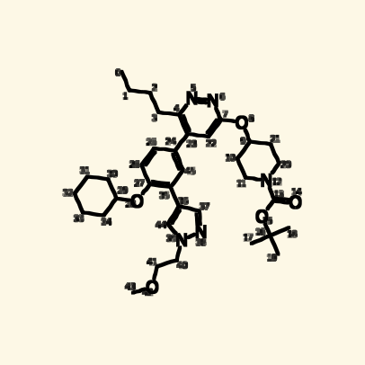 CCCCc1nnc(OC2CCN(C(=O)OC(C)(C)C)CC2)cc1-c1ccc(OC2CCCCC2)c(-c2cnn(CCOC)c2)c1